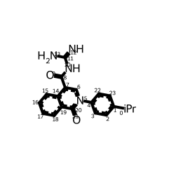 CC(C)c1ccc(-n2cc(C(=O)NC(=N)N)c3ccccc3c2=O)cc1